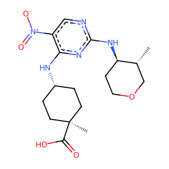 C[C@@H]1COCC[C@H]1Nc1ncc([N+](=O)[O-])c(N[C@H]2CC[C@](C)(C(=O)O)CC2)n1